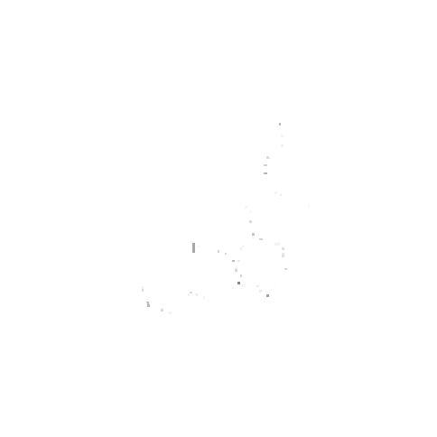 CCN[S+]([O-])Nc1ncnc(OCCO)c1Br